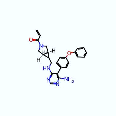 C=CC(=O)N1C[C@@H]2C(CNc3ncnc(N)c3-c3ccc(Oc4ccccc4)cc3)[C@@H]2C1